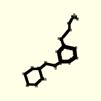 NCCOc1cccc(OCC2CCCCO2)c1